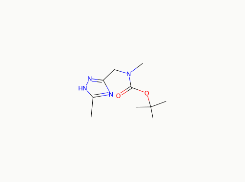 Cc1nc(CN(C)C(=O)OC(C)(C)C)n[nH]1